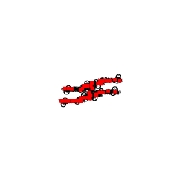 C=CC(=O)OCCCCCCOc1ccc(C(=O)Oc2ccc(OC(=O)c3ccc(OCCCCCCOC(=O)C=C)cc3)c(/C(C)=N/N=C(\C)c3cc(OC(=O)c4ccc(OCCCCCCOC(=O)C=C)cc4)ccc3OC(=O)c3ccc(OCCCCCCOC(=O)C=C)cc3)c2)cc1